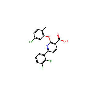 Cc1ccc(Cl)cc1Oc1nc(-c2cccc(F)c2F)ccc1C(=O)O